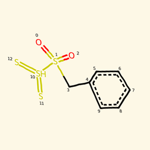 O=S(=O)(Cc1ccccc1)[SH](=S)=S